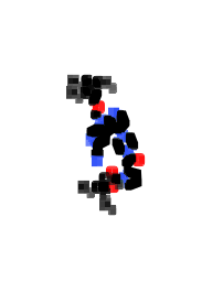 CC(C)(C)OC(=O)N1CCC[C@H]1CC(=O)N1CCN(c2ccnc3c2c2cc(C#N)ncc2n3COCC[Si](C)(C)C)CC1